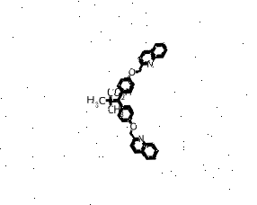 CC(C)(C(=O)O)C(c1ccc(OCc2ccc3ccccc3n2)cc1)c1ccc(OCc2ccc3ccccc3n2)cc1